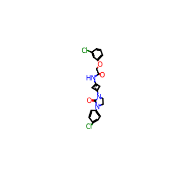 O=C(COc1cccc(Cl)c1)NC12CC(N3CCN(c4ccc(Cl)cc4)C3=O)(C1)C2